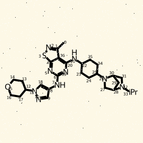 Cc1nsc2nc(Nc3cnn(C4CCOCC4)c3)nc(NC3CCC(N4CC5CC4CN5C(C)C)CC3)c12